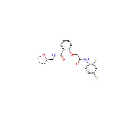 O=C(COc1ccccc1C(=O)NC[C@H]1CCCO1)Nc1ccc(Cl)cc1F